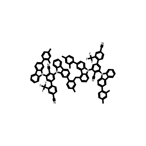 Cc1ccc(-c2ccc3c(c2)c2ccccc2n3-c2cc(-c3ccc(C#N)cc3C(F)(F)F)cc(-n3c4ccc(-c5ccc(C)cc5C)cc4c4c(Cc5cc(C)ccc5-c5ccc6c7ccccc7n(-c7cc(-c8ccc(C#N)cc8C(F)(F)F)cc(-n8c9ccccc9c9ccc(-c%10ccc(C)cc%10C)cc98)c7C#N)c6c5)cccc43)c2C#N)c(C)c1